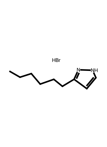 Br.CCCCCCc1cc[nH]n1